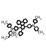 C/C=C(C)\C=C/C(N)N(c1ccc(C)cc1)c1ccc(-c2c(-c3ccccc3)cc(C3=CC=C(N(c4ccc(C)cc4)C4C=CC(C)=CC4)CC3)c3c4ccccc4c4ccccc4c23)cc1